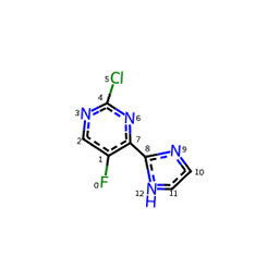 Fc1cnc(Cl)nc1-c1ncc[nH]1